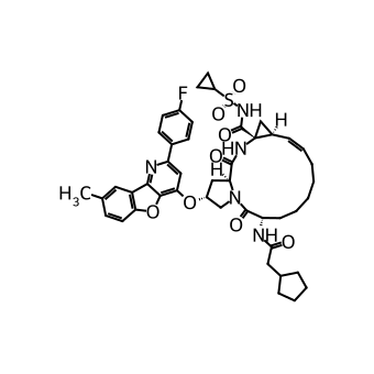 Cc1ccc2oc3c(O[C@@H]4C[C@H]5C(=O)N[C@]6(C(=O)NS(=O)(=O)C7CC7)C[C@H]6/C=C\CCCCC[C@H](NC(=O)CC6CCCC6)C(=O)N5C4)cc(-c4ccc(F)cc4)nc3c2c1